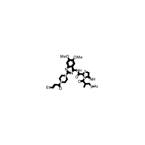 CCC=CC(=O)N1CCN(c2nc(NC(=O)C3SCC(=N)N3C(=O)C(C)CSC(C)=O)c3cc(OC)c(OC)cc3n2)CC1